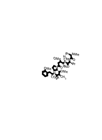 CC[C@H](C)C(C(CC(=O)N1CCC[C@H]1C(OC)C(C)C(=O)N[C@@H](Cc1ccccc1OC)C(=O)O)OC)N(C)C(=O)[C@@H](NC(=O)[C@@H](NC)C(C)C)C(C)C